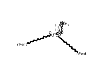 CCCCC/C=C/C/C=C/C/C=C/C/C=C/CCCC(=O)OC[C@H](COP(=O)(O)OCC[N+](C)(C)C)OC(=O)CCC/C=C/C/C=C/C/C=C/C/C=C/CCCCC